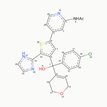 CC(=O)Nc1cc(-c2cc(C(O)(C3=CCOCC3)c3ccc(Cl)cc3)c(-c3ncc[nH]3)s2)ccn1